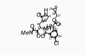 CNC(=O)C(=O)C(C[C@@H]1CCNC1=O)NC(=O)c1cc(Cl)ccc1NC(=O)OCC1CC1